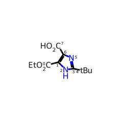 CCOC(=O)c1[nH]c(C(C)(C)C)nc1C(=O)O